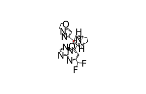 O=C(c1cc2n(n1)CCO2)N1[C@H]2CC[C@H](c3cc(C(F)F)nc4ncnn34)[C@@H]1CC2